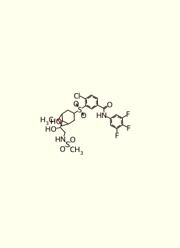 C[C@H]1CC2CC(S(=O)(=O)c3cc(C(=O)Nc4cc(F)c(F)c(F)c4)ccc3Cl)CC1C2(O)C(O)CNS(C)(=O)=O